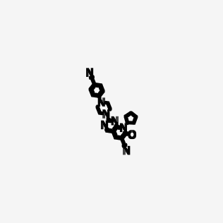 N#Cc1ccc(N2CCN(c3ncc4cc(C#N)c(=O)n(C5CCCC5)c4n3)CC2)cc1